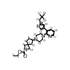 CCOC(=O)N1CC2(CC[C@@H](N3CCN(c4ncccc4-c4cnn(CC(C)(C)C)c4)CC3)C2)C1